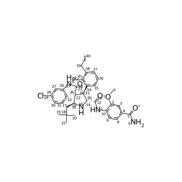 COc1cc(C(N)=O)ccc1NC(=O)[C@@H]1N[C@@H](CC(C)(C)C)[C@@]2(C(=O)Nc3cc(Cl)ccc32)[C@H]1c1cccc(CI)c1F